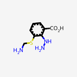 NCSc1cccc(C(=O)O)c1NN